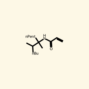 C=CC(=O)NC(C)(CCCCC)C(C)CCCC